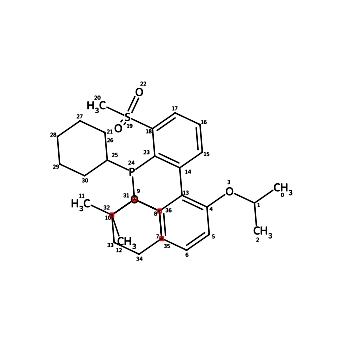 CC(C)Oc1cccc(OC(C)C)c1-c1cccc(S(C)(=O)=O)c1P(C1CCCCC1)C1CCCCC1